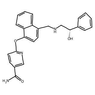 NC(=O)c1ccc(Oc2ccc(CNC[C@@H](O)c3ccccc3)c3ccccc23)nc1